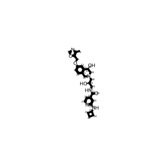 Cc1ncoc1COc1ccc2c(c1)[C@H](O)CN(C[C@@H](O)CNC(=O)c1ccnc(NC3CCC3)c1)C2